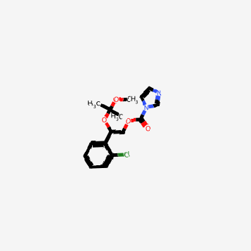 COC(C)(C)OC(COC(=O)n1ccnc1)c1ccccc1Cl